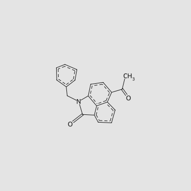 CC(=O)c1ccc2c3c(cccc13)C(=O)N2Cc1ccccc1